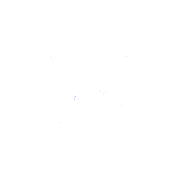 O=C(Nc1cccc2cnccc12)c1nc(Cc2ccncc2)n2c(Br)cccc12